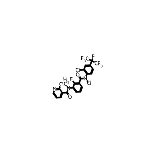 CN(C(=O)c1cccnc1Cl)c1cccc(C(=O)N(Cl)c2ccc(C(F)(C(F)(F)F)C(F)(F)F)cc2Cl)c1F